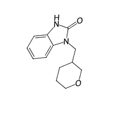 O=c1[nH]c2ccccc2n1CC1CCCOC1